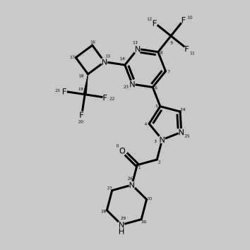 O=C(Cn1cc(-c2cc(C(F)(F)F)nc(N3CC[C@@H]3C(F)(F)F)n2)cn1)N1CCNCC1